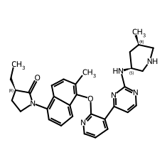 CC[C@@H]1CCN(c2cccc3c(Oc4ncccc4-c4ccnc(N[C@@H]5CNC[C@H](C)C5)n4)c(C)ccc23)C1=O